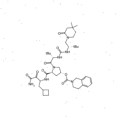 CC1(C)CCN(C[C@@H](NC(=O)N[C@H](C(=O)N2C[C@H](OC(=O)N3CCc4ccccc4C3)C[C@H]2C(=O)NC(CC2CCC2)C(=O)C(N)=O)C(C)(C)C)C(C)(C)C)C(=O)C1